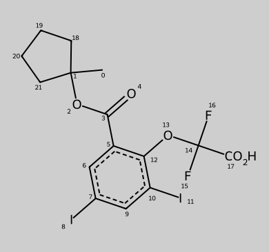 CC1(OC(=O)c2cc(I)cc(I)c2OC(F)(F)C(=O)O)CCCC1